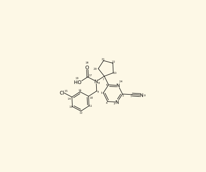 N#Cc1nccc(C2(N(Cc3cccc(Cl)c3)C(=O)O)CCCC2)n1